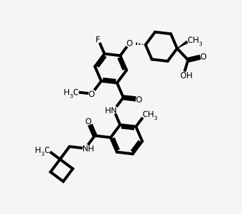 COc1cc(F)c(O[C@H]2CC[C@@](C)(C(=O)O)CC2)cc1C(=O)Nc1c(C)cccc1C(=O)NCC1(C)CCC1